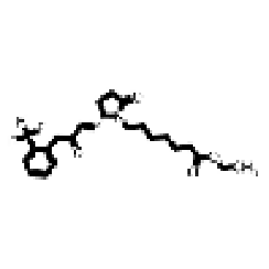 CCOC(=O)CCCCCCN1C(=O)CC[C@H]1C=CC(=O)Cc1ccccc1C(F)(F)F